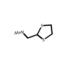 CNCC1SCCS1